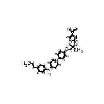 CCCc1ccc(NC2CCN(c3ccc(OC[C@@]4(C)Cn5cc([N+](=O)[O-])nc5O4)cc3)CC2)cc1